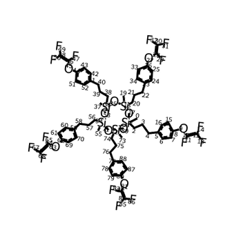 C[Si]1(CCCc2ccc(OC(F)=C(F)F)cc2)O[Si](C)(CCCc2ccc(OC(F)=C(F)F)cc2)O[Si](C)(CCCc2ccc(OC(F)=C(F)F)cc2)O[Si](C)(CCCc2ccc(OC(F)=C(F)F)cc2)O[Si](C)(CCCc2ccc(OC(F)=C(F)F)cc2)O1